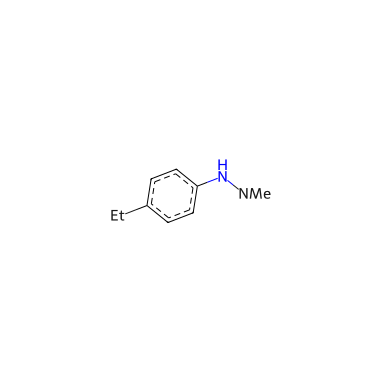 CCc1ccc(NNC)cc1